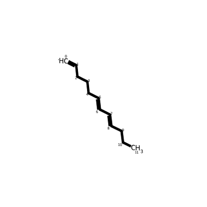 [CH]=CCCCC=CC=CCCC